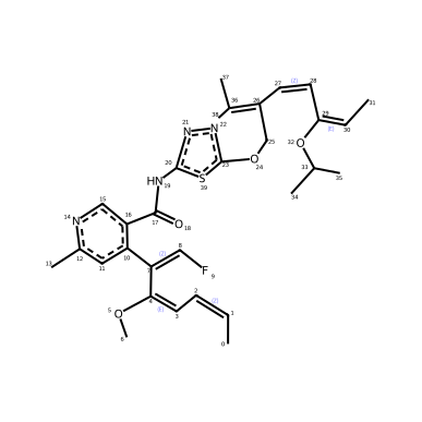 C\C=C/C=C(OC)\C(=C/F)c1cc(C)ncc1C(=O)Nc1nnc(OCC(/C=C\C(=C/C)OC(C)C)=C(C)C)s1